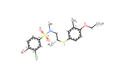 CCCN(C[C@@H](C)Sc1ccc(OCC(=O)O)c(C)c1)S(=O)(=O)c1ccc(Br)c(Cl)c1